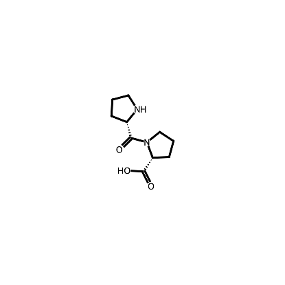 O=C(O)[C@H]1CCCN1C(=O)[C@@H]1CCCN1